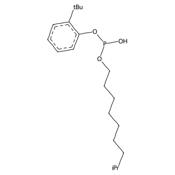 CC(C)CCCCCCCOP(O)Oc1ccccc1C(C)(C)C